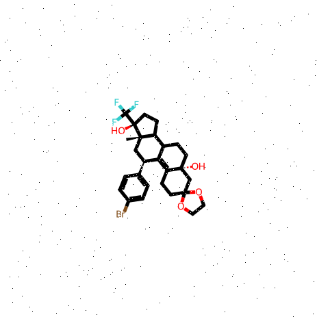 C[C@]12C[C@H](c3ccc(Br)cc3)C3=C4CCC5(C[C@]4(O)CCC3C1CC[C@@]2(O)C(F)(F)F)OCCO5